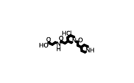 Cl.O=C(O)CCNC(=O)CC1CCCN(C(=O)CC2CCNCC2)C1